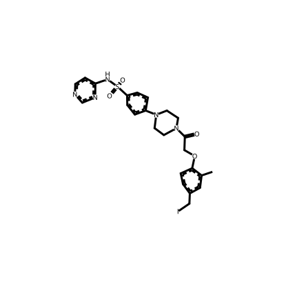 Cc1cc(CI)ccc1OCC(=O)N1CCN(c2ccc(S(=O)(=O)Nc3ccncn3)cc2)CC1